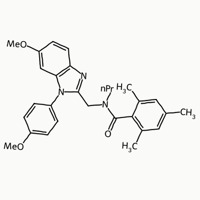 CCCN(Cc1nc2ccc(OC)cc2n1-c1ccc(OC)cc1)C(=O)c1c(C)cc(C)cc1C